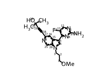 COCCCn1cc(-c2nc(N)ncc2F)c2cc(C#CC(C)(C)O)ncc21